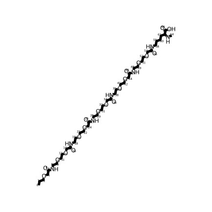 CCCOCC(=O)NCCOCCOCC(=O)NCCOCCOCC(=O)NCCOCCOCC(=O)NCCOCCOCC(=O)NCCOCCOCC(=O)NCCCCC(NC)C(=O)O